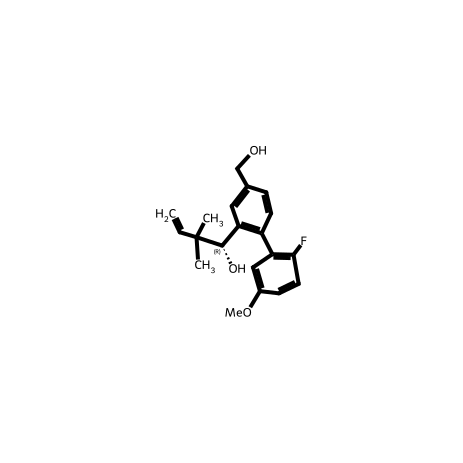 C=CC(C)(C)[C@@H](O)c1cc(CO)ccc1-c1cc(OC)ccc1F